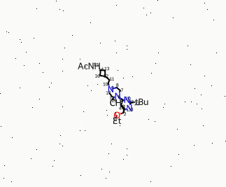 CCOCc1cc(N2CCN(CCC3CC(NC(C)=O)C3)CC2C)nc(C(C)(C)C)n1